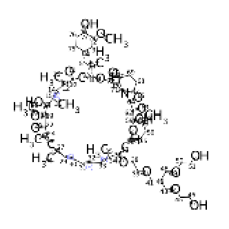 CO[C@@H]1C[C@H](C[C@@H](C)[C@@H]2CC(=O)[C@H](C)/C=C(\C)[C@@H](O)[C@@H](OC)C(=O)[C@H](C)C[C@H](C)/C=C/C=C/C=C(\C)C(OCCOCC(COCCO)COCCO)C[C@@H]3CC[C@@H](C)[C@@](O)(O3)C(=O)C(=O)N3CCCC[C@H]3C(=O)O2)CC[C@H]1O